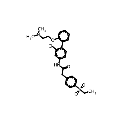 CCS(=O)(=O)c1ccc(CC(=O)Nc2ccc(-c3ccccc3OCCN(C)C)c(Cl)c2)cc1